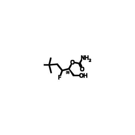 CC(C)(C)CC(F)[C@H](CO)OC(N)=O